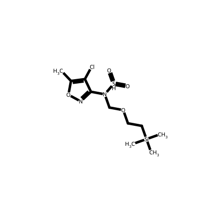 Cc1onc(N(COCC[Si](C)(C)C)[SH](=O)=O)c1Cl